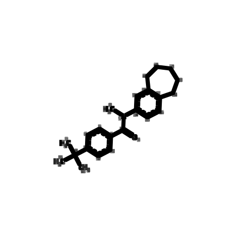 CN(C(=O)c1ccc(C(C)(C)C)cc1)c1ccc2c(c1)CCCCC2